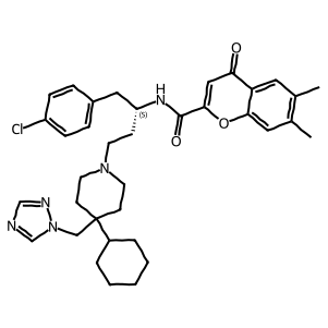 Cc1cc2oc(C(=O)N[C@H](CCN3CCC(Cn4cncn4)(C4CCCCC4)CC3)Cc3ccc(Cl)cc3)cc(=O)c2cc1C